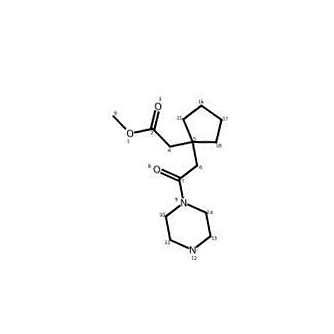 COC(=O)CC1(CC(=O)N2CC[N]CC2)CCCC1